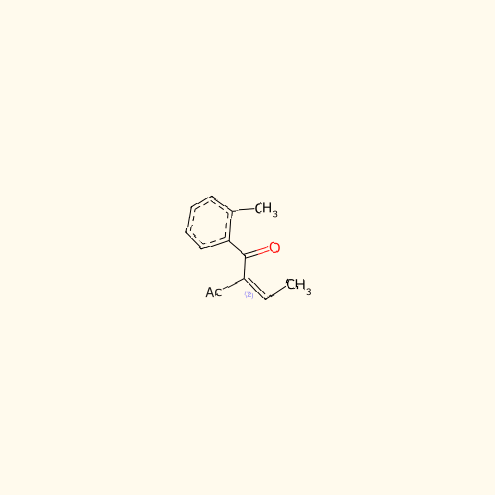 C/C=C(/C(C)=O)C(=O)c1ccccc1C